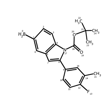 Bc1ccc2c(c1)cc(-c1ccc(F)c(C)c1)n2C(=O)OC(C)(C)C